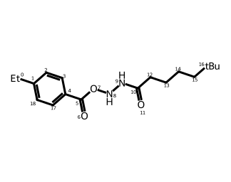 CCc1ccc(C(=O)ONNC(=O)CCCCC(C)(C)C)cc1